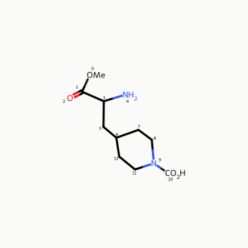 COC(=O)C(N)CC1CCN(C(=O)O)CC1